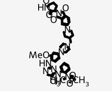 COc1cc(N2CCN(CC3CCN(c4ccc5c(c4)C(=O)N(C4CCC(=O)NC4=O)C5=O)CC3)CC2)ccc1Nc1ncc(Cl)c(Nc2ccccc2N(C)S(C)(=O)=O)n1